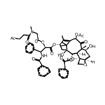 CC(=O)CCC(=O)N(C)CC(=O)O[C@@H](C(=O)O[C@H]1C[C@@]2(O)[C@@H](OC(=O)c3ccccc3)[C@@H]3[C@]4(OC(C)=O)CO[C@@H]4C[C@H](O)[C@@]3(C)C(=O)[C@H](OC(C)=O)C(=C1C)C2(C)C)[C@@H](NC(=O)c1ccccc1)c1ccccc1